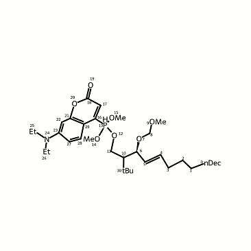 CCCCCCCCCCCCC/C=C/[C@H](OCOC)[C](CO[PH](OC)(OC)c1cc(=O)oc2cc(N(CC)CC)ccc12)C(C)(C)C